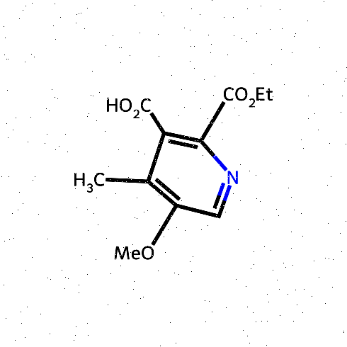 CCOC(=O)c1ncc(OC)c(C)c1C(=O)O